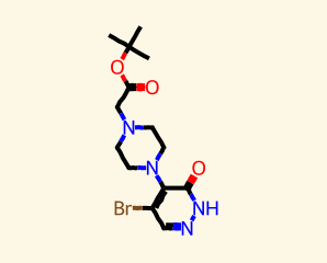 CC(C)(C)OC(=O)CN1CCN(c2c(Br)cn[nH]c2=O)CC1